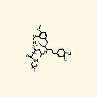 COc1ccc(C[C@@H](C(N)CCc2ccc(Cl)c(Cl)c2)C(N)[C@@H](C(=O)C(F)(F)C(=O)NCC(F)(F)F)C(C)C)cc1OC